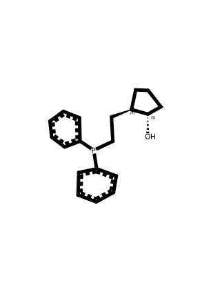 O[C@H]1CCC[C@@H]1CCP(c1ccccc1)c1ccccc1